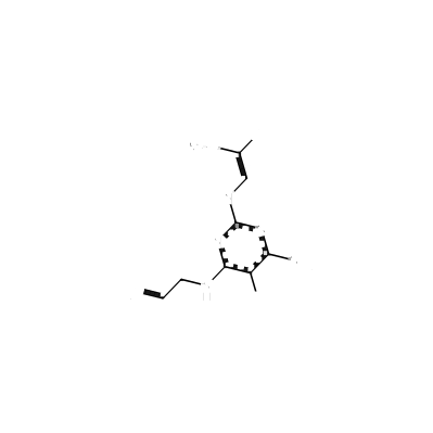 C=CCNc1nc(N/C=C(/C)OC)nc(N)c1Cl